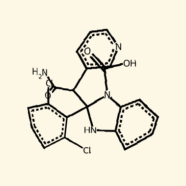 NC(=O)C(c1cccnc1)C1(c2c(Cl)cccc2Cl)Nc2ccccc2N1C(=O)O